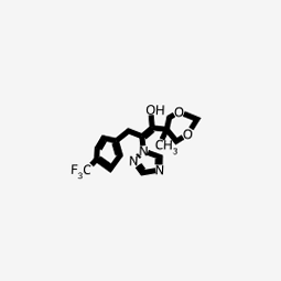 CC1(C(O)=C(Cc2ccc(C(F)(F)F)cc2)n2cncn2)COCOC1